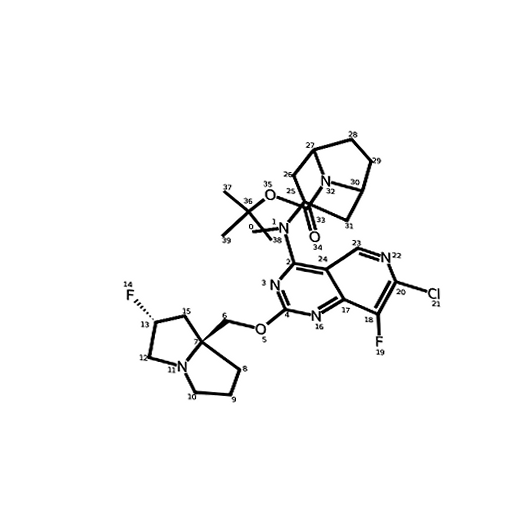 CN(c1nc(OC[C@@]23CCCN2C[C@H](F)C3)nc2c(F)c(Cl)ncc12)C1CC2CCC(C1)N2C(=O)OC(C)(C)C